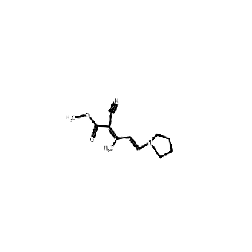 COC(=O)/C(C#N)=C(C)/C=C/N1CCCC1